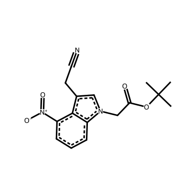 CC(C)(C)OC(=O)Cn1cc(CC#N)c2c([N+](=O)[O-])cccc21